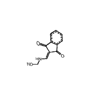 O=C1C(=CNCO)C(=O)c2ccccc21